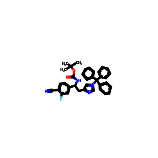 CC(C)(C)OC(=O)NC(Cc1cn(C(c2ccccc2)(c2ccccc2)c2ccccc2)cn1)c1ccc(C#N)c(F)c1